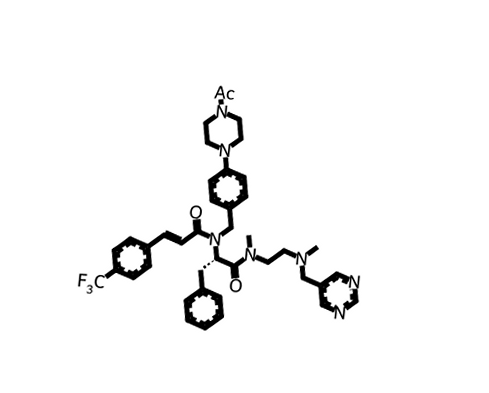 CC(=O)N1CCN(c2ccc(CN(C(=O)/C=C/c3ccc(C(F)(F)F)cc3)[C@@H](Cc3ccccc3)C(=O)N(C)CCN(C)Cc3cncnc3)cc2)CC1